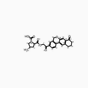 CC1CC(C(=O)OCC(=O)c2ccc3c(c2)COc2cc4c(cc2-3)CCCC4=O)N(C(=O)O)C1